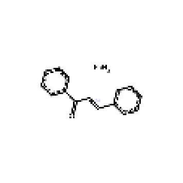 O=C(/C=C/c1ccccc1)c1ccccc1.[PbH2]